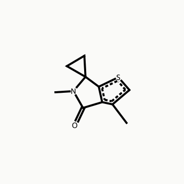 Cc1csc2c1C(=O)N(C)C21CC1